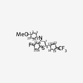 COc1ccc(N=CC=C(Sc2ccc(F)cc2)c2ccc(C(F)(F)F)cc2)cc1